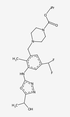 Cc1c(CN2CCN(C(=O)OC(C)C)CC2)cc(C(F)F)cc1Nc1nnc(C(C)O)o1